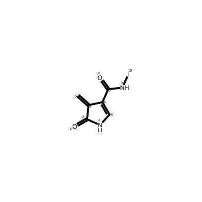 C=C1C(=O)NC=C1C(=O)NI